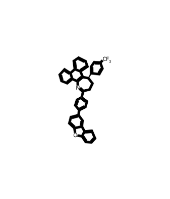 FC(F)(F)c1ccc([C@H]2CCC(c3ccc(-c4ccc5oc6ccccc6c5c4)cc3)=Nc3c2c2ccccc2c2ccccc32)cc1